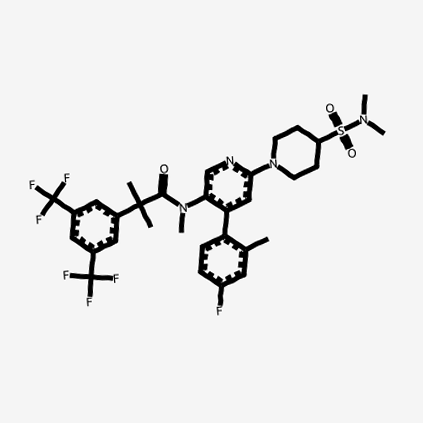 Cc1cc(F)ccc1-c1cc(N2CCC(S(=O)(=O)N(C)C)CC2)ncc1N(C)C(=O)C(C)(C)c1cc(C(F)(F)F)cc(C(F)(F)F)c1